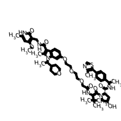 COc1cc(C)[nH]c(=O)c1CNC(=O)c1c(C)n(C(C)C2CCOCC2)c2cc(OCCOCCOCC(=O)NC(C(=O)N3C[C@H](O)C[C@H]3C(=O)NC(C)c3ccc(-c4scnc4C)cc3)C(C)(C)C)ccc12